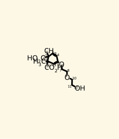 CC1(C(=O)O)C=CC(OCCOCCO)=CC1(C)C(=O)O